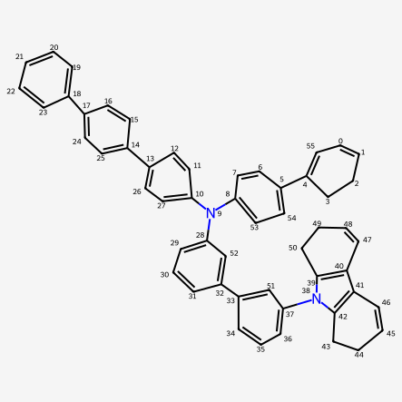 C1=CCCC(c2ccc(N(c3ccc(-c4ccc(-c5ccccc5)cc4)cc3)c3cccc(-c4cccc(-n5c6c(c7c5CCC=C7)C=CCC6)c4)c3)cc2)=C1